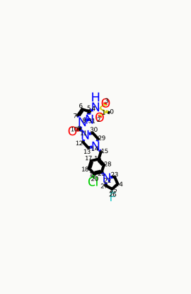 CS(=O)(=O)Nc1ccn(C(=O)N2CCN(Cc3ccc(Cl)c(N4CC[C@H](F)C4)c3)CC2)n1